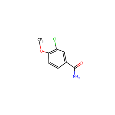 NC(=O)c1ccc(OC(F)(F)F)c(Cl)c1